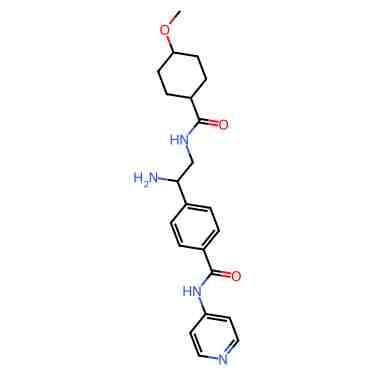 COC1CCC(C(=O)NCC(N)c2ccc(C(=O)Nc3ccncc3)cc2)CC1